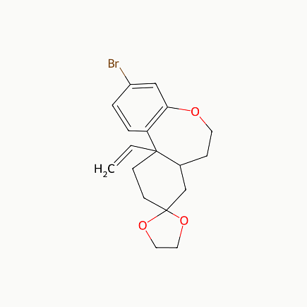 C=CC12CCC3(CC1CCOc1cc(Br)ccc12)OCCO3